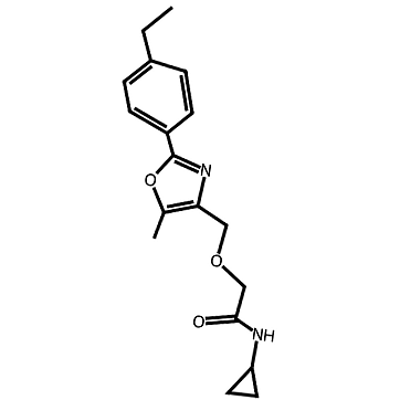 CCc1ccc(-c2nc(COCC(=O)NC3CC3)c(C)o2)cc1